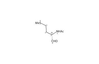 CS[CH]C[C@@H](C=O)NC(C)=O